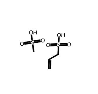 C=CCS(=O)(=O)O.CS(=O)(=O)O